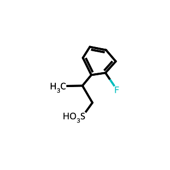 CC(CS(=O)(=O)O)c1ccccc1F